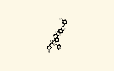 N#Cc1cccc(COc2ccc(Nc3c(C#N)cnc4c(NC(=O)C=C5CCNCC5)c(Oc5ccncc5)ccc34)cc2Cl)c1